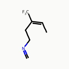 C=NCCC(=CC)C(F)(F)F